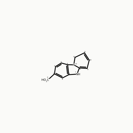 O=C(O)c1ccc2c(c1)NC1=CC=CCN12